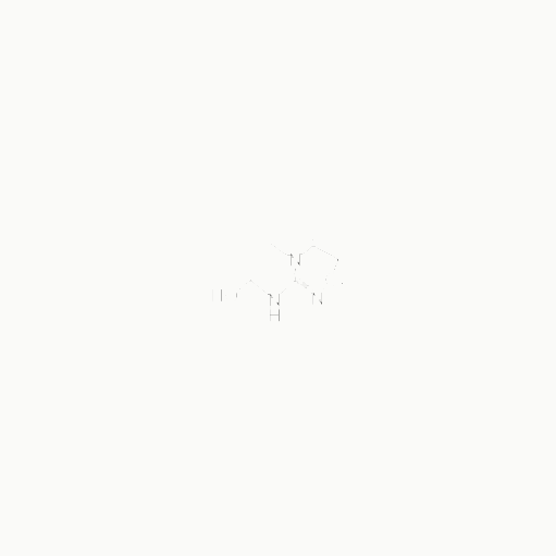 CN1CCCN=C1NCO